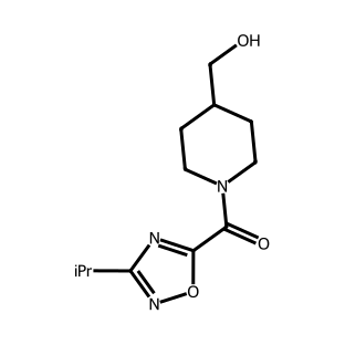 CC(C)c1noc(C(=O)N2CCC(CO)CC2)n1